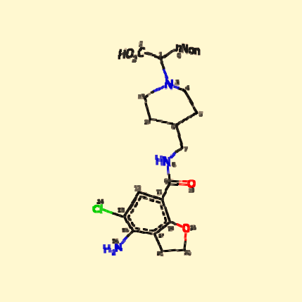 CCCCCCCCCC(C(=O)O)N1CCC(CNC(=O)c2cc(Cl)c(N)c3c2OCC3)CC1